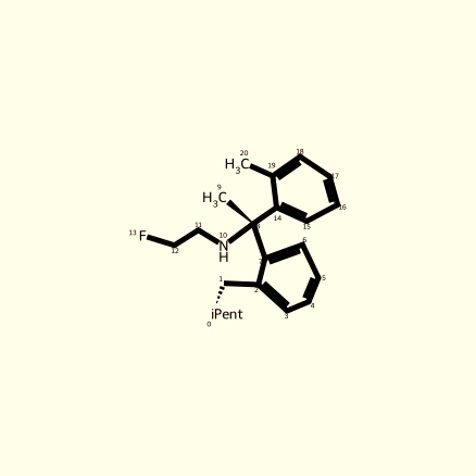 CCC[C@@H](C)Cc1ccccc1[C@](C)(NCCF)c1ccccc1C